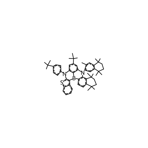 Cc1cc2c(cc1N1c3cc(C(C)(C)C)cc4c3B(c3ccc5c(c31)C(C)(C)CCC5(C)C)c1c(sc3ccccc13)N4c1ccc(C(C)(C)C)cc1)C(C)(C)CCC2(C)C